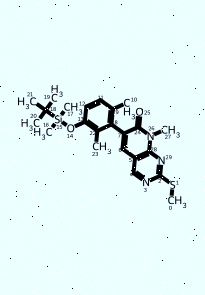 CSc1ncc2cc(-c3c(C)ccc(O[Si](C)(C)C(C)(C)C)c3C)c(=O)n(C)c2n1